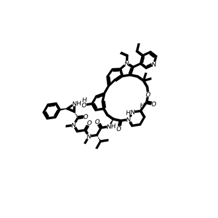 CCc1ccncc1-c1c2c3cc(ccc3n1CC)-c1cc(O)cc(c1)C[C@H](NC(=O)[C@H](C(C)C)N(C)C(=O)CN(C)C(=O)[C@H]1N[C@@H]1c1ccccc1)C(=O)N1CCC[C@H](N1)C(=O)OCC(C)(C)C2